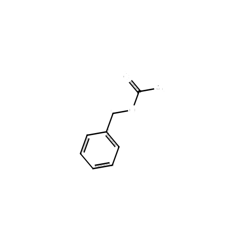 [13CH3]C(=O)C(=O)OCc1ccccc1